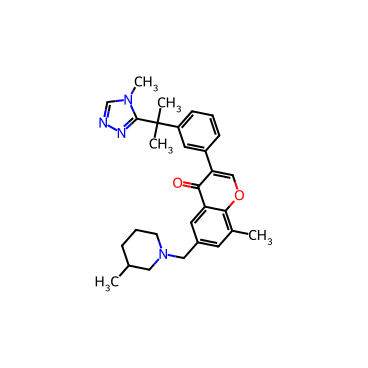 Cc1cc(CN2CCCC(C)C2)cc2c(=O)c(-c3cccc(C(C)(C)c4nncn4C)c3)coc12